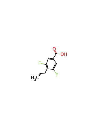 C=CCc1c(F)cc(C(=O)O)cc1F